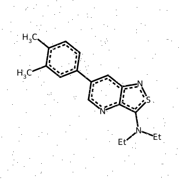 CCN(CC)c1snc2cc(-c3ccc(C)c(C)c3)cnc12